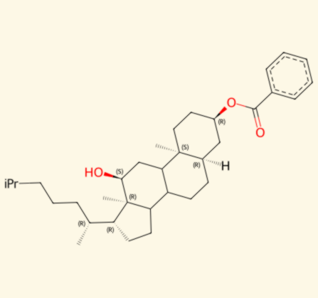 CC(C)CCC[C@@H](C)[C@H]1CCC2C3CC[C@@H]4C[C@H](OC(=O)c5ccccc5)CC[C@]4(C)C3C[C@H](O)[C@@]21C